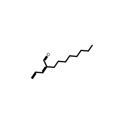 C=CC=C(C=O)CCCCCCCC